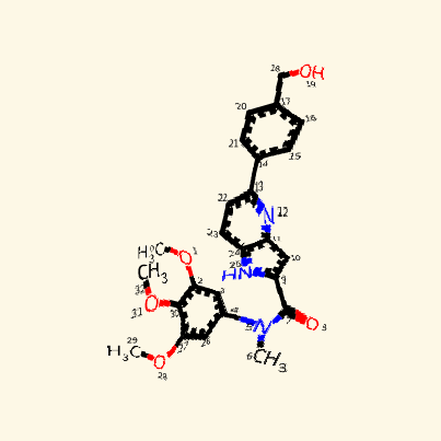 COc1cc(N(C)C(=O)c2cc3nc(-c4ccc(CO)cc4)ccc3[nH]2)cc(OC)c1OC